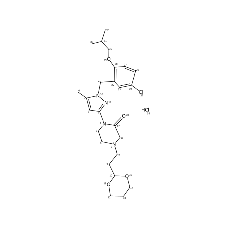 Cc1cc(N2CCN(CCC3OCCCO3)CC2=O)nn1Cc1cc(Cl)ccc1OCC(C)C.Cl